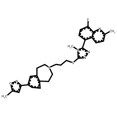 Cc1ccc2c(-c3nnc(SCCCN4CCc5ccc(-c6cc(C)on6)cc5CC4)n3C)ccc(F)c2n1